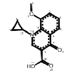 COc1[c]ccc2c(=O)c(C(=O)O)cn(C3CC3)c12